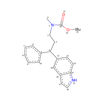 CN(CCC(c1ccccc1)c1ccc2[nH]ccc2c1)C(=O)OC(C)(C)C